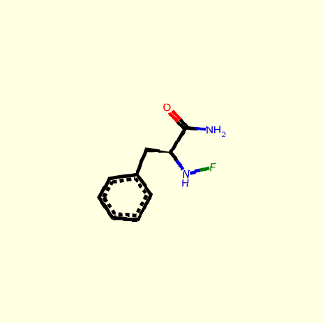 NC(=O)[C@H](Cc1ccccc1)NF